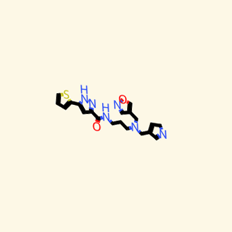 O=C(NCCCN(CC1=CCN=C1)Cc1cnoc1)c1cc(-c2cccs2)[nH]n1